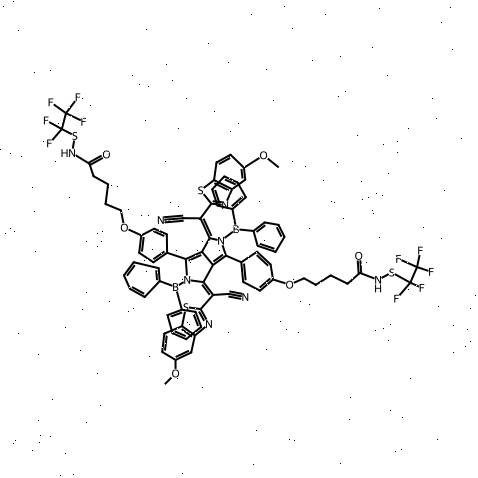 COc1ccc2sc(/C(C#N)=c3/c4c(-c5ccc(OCCCCC(=O)NSC(F)(F)C(F)(F)F)cc5)n(B(c5ccccc5)c5ccccc5)/c(=C(/C#N)c5nc6cc(OC)ccc6s5)c4c(-c4ccc(OCCCCC(=O)NSC(F)(F)C(F)(F)F)cc4)n3B(c3ccccc3)c3ccccc3)nc2c1